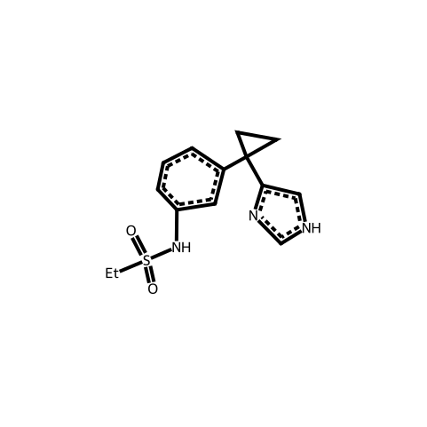 CCS(=O)(=O)Nc1cccc(C2(c3c[nH]cn3)CC2)c1